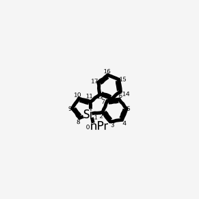 CCC[Si]1(c2ccccc2)C=CC=C1c1ccccc1